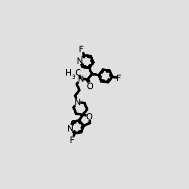 CN(CCCN1CCC2(CC1)OCc1cc(F)ncc12)C(=O)C(c1ccc(F)cc1)c1ccc(F)nc1